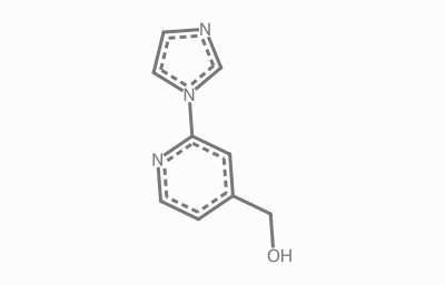 OCc1ccnc(-n2ccnc2)c1